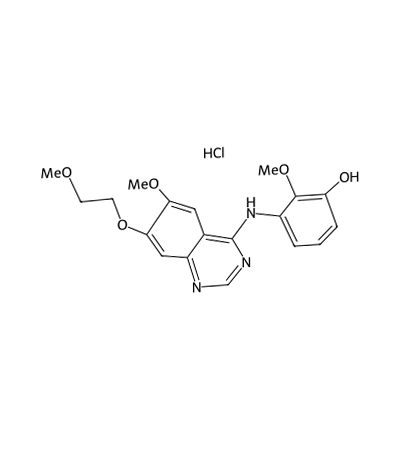 COCCOc1cc2ncnc(Nc3cccc(O)c3OC)c2cc1OC.Cl